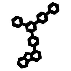 c1ccc(-c2ccc(-c3nc(-c4ccccc4)nc(-c4ccc(-c5cccc6c5sc5ccccc56)cc4)n3)cc2)cc1